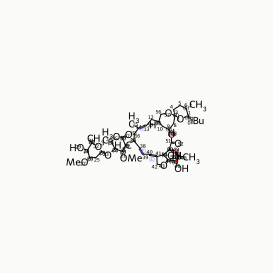 CC[C@H](C)[C@H]1O[C@]2(CC[C@@H]1C)C[C@@H]1C[C@@H](C/C=C(\C)[C@@H](O[C@H]3C[C@H](OC)[C@@H](O[C@H]4C[C@H](OC)[C@@H](O)[C@H](C)O4)[C@H](C)O3)[C@@H](C)/C=C/C=C3\CO[C@@H]4[C@H](O)C(C)=C[C@@H](C(=O)O1)[C@]34O)CO2